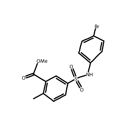 COC(=O)c1cc(S(=O)(=O)Nc2ccc(Br)cc2)ccc1C